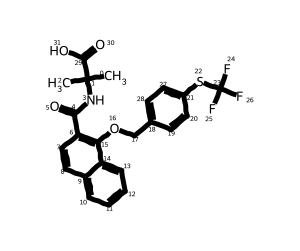 CC(C)(NC(=O)c1ccc2ccccc2c1OCc1ccc(SC(F)(F)F)cc1)C(=O)O